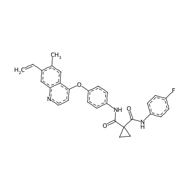 C=Cc1cc2nccc(Oc3ccc(NC(=O)C4(C(=O)Nc5ccc(F)cc5)CC4)cc3)c2cc1C